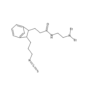 CCN(CC)CCNC(=O)CCC1c2cccc(c2)C1CCCN=C=S